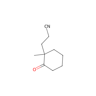 CC1(CCC#N)CCCCC1=O